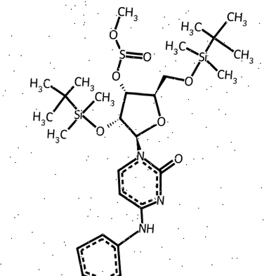 COS(=O)O[C@H]1[C@@H](O[Si](C)(C)C(C)(C)C)[C@H](n2ccc(Nc3ccccc3)nc2=O)O[C@@H]1CO[Si](C)(C)C(C)(C)C